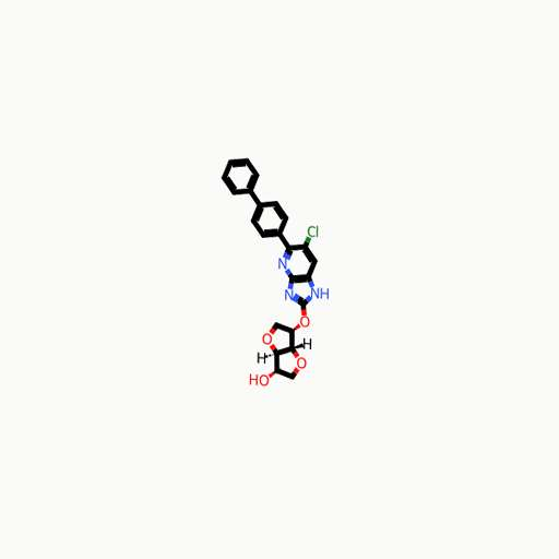 O[C@@H]1CO[C@@H]2[C@@H]1OC[C@H]2Oc1nc2nc(-c3ccc(-c4ccccc4)cc3)c(Cl)cc2[nH]1